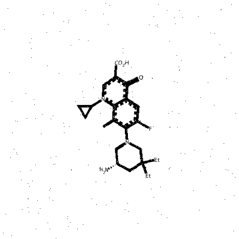 CCC1(CC)C[C@H](N)CN(c2c(F)cc3c(=O)c(C(=O)O)cn(C4CC4)c3c2C)C1